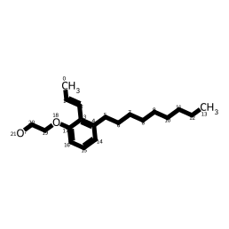 CC=Cc1c(CCCCCCCCC)cccc1OCC[O]